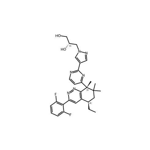 CC[C@@H]1CC(C)(C)[C@@](C)(c2ccnc(-c3cnn(C[C@H](O)CO)c3)n2)c2nnc(-c3c(F)cccc3F)cc21